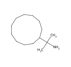 CC(C)(N)C1CCCCCCCCCC1